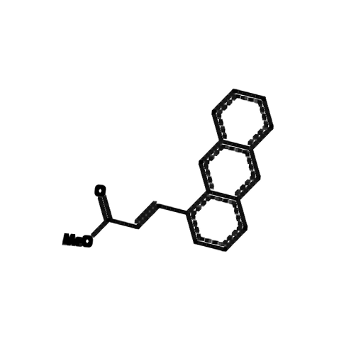 COC(=O)C=Cc1cccc2cc3ccccc3cc12